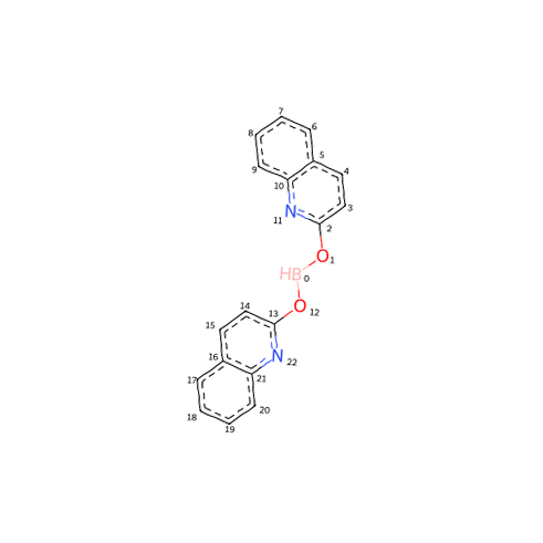 B(Oc1ccc2ccccc2n1)Oc1ccc2ccccc2n1